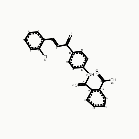 O=C(/C=C/c1ccccc1Cl)c1ccc(NC(=O)c2ccccc2C(=O)O)cc1